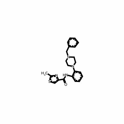 Cc1nc(C(=O)Nc2ccccc2N2CCN(Cc3ccccc3)CC2)cs1